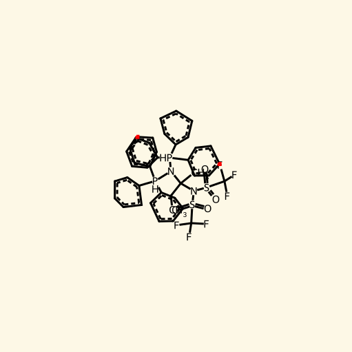 CCC(C)(N([PH](c1ccccc1)(c1ccccc1)c1ccccc1)[PH](c1ccccc1)(c1ccccc1)c1ccccc1)N(S(=O)(=O)C(F)(F)F)S(=O)(=O)C(F)(F)F